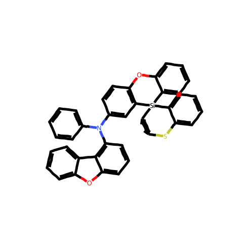 c1ccc(N(c2ccc3c(c2)[Si]2(c4ccccc4O3)c3ccccc3Sc3ccccc32)c2cccc3oc4ccccc4c23)cc1